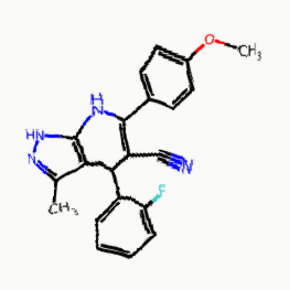 COc1ccc(C2=C(C#N)C(c3ccccc3F)c3c(C)n[nH]c3N2)cc1